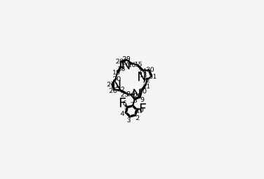 Fc1cccc(F)c1C1=CC2=CC3=NC(=CC4=NC(=CC5=NC(=CC1=N2)C=C5)C=C4)C=C3